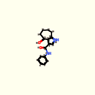 O=C(Nc1ccccc1)c1c[nH]c2c1C(=O)CCCC2